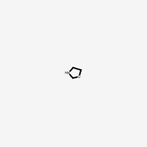 [CH]1CN[CH]O1